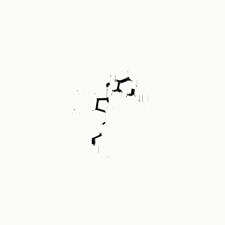 C=CCSC[C@H]1OC(n2cnc3c(Cl)nc(N)nc32)[C@H](OC(C)=O)[C@@H]1OC(C)=O